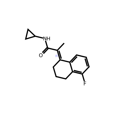 C/C(C(=O)NC1CC1)=C1/CCCc2c(F)cccc21